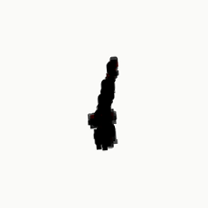 CCCCCCCCCCOCCOCCOCCOCCOC(c1ccccc1)(c1ccccc1)c1ccc(C(=O)Oc2c(F)c(F)c(F)c(F)c2F)cc1